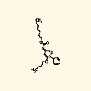 CCCCCCCOC(=O)N=c1cnn(-c2ccccc2)c(OCCCC)c1